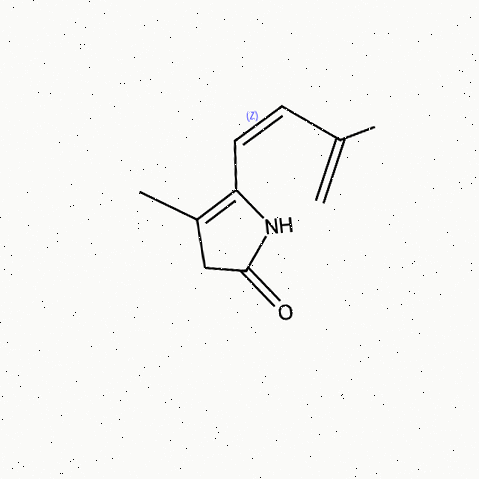 C=C(C)/C=C\C1=C(C)CC(=O)N1